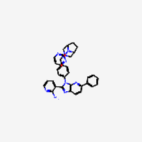 Nc1ncccc1-c1nc2ccc(-c3ccccc3)nc2n1-c1ccc(CN2CC3CCC(C2)N3c2ncccn2)cc1